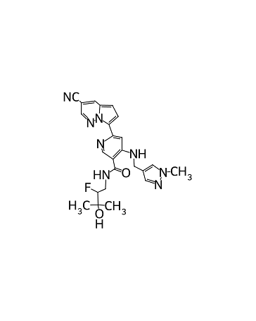 Cn1cc(CNc2cc(-c3ccc4cc(C#N)cnn34)ncc2C(=O)NCC(F)C(C)(C)O)cn1